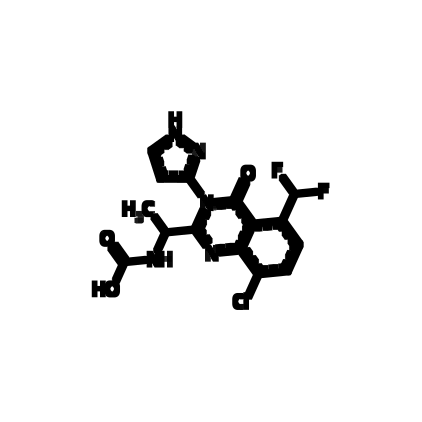 CC(NC(=O)O)c1nc2c(Cl)ccc(C(F)F)c2c(=O)n1-c1cc[nH]n1